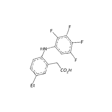 CCc1ccc(Nc2cc(F)c(F)c(F)c2F)c(CC(=O)O)c1